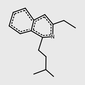 CCc1cc2ccccc2c(CCC(C)C)n1